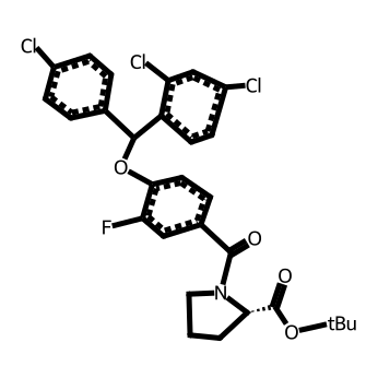 CC(C)(C)OC(=O)[C@@H]1CCCN1C(=O)c1ccc(OC(c2ccc(Cl)cc2)c2ccc(Cl)cc2Cl)c(F)c1